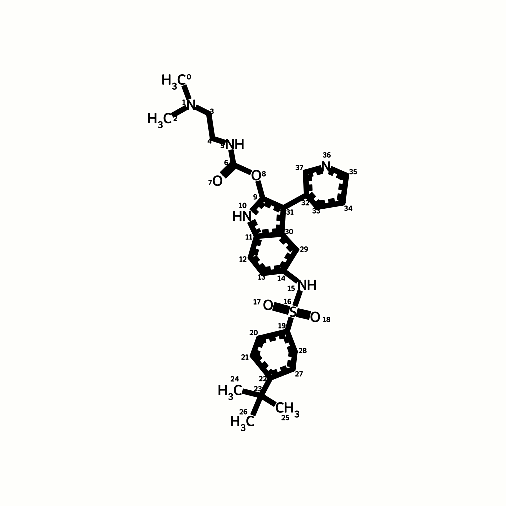 CN(C)CCNC(=O)Oc1[nH]c2ccc(NS(=O)(=O)c3ccc(C(C)(C)C)cc3)cc2c1-c1cccnc1